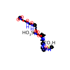 Cc1c(-c2ccc(N3CCc4cccc(C(=O)Nc5nc6ccccc6s5)c4C3)nc2C(=O)O)cnn1CC12CC3(C)CC(C)(C1)CC(OCCN(CCS(=O)(=O)O)C(=O)OC/C=C/c1cc[c]c(NC(=O)CCNC(=O)CCCCCN4C(=O)C=CC4=O)c1)(C3)C2